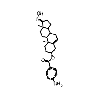 C[C@]12CC[C@H](OC(=O)c3ccc(N)cc3)CC1=CCC1C2CC[C@]2(C)C(=NO)CCC12